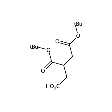 CC(C)(C)OC(=O)CC(CC(=O)O)C(=O)OC(C)(C)C